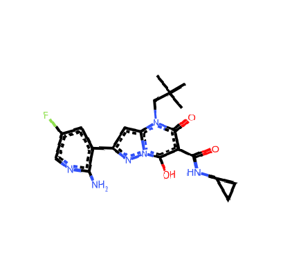 CC(C)(C)Cn1c(=O)c(C(=O)NC2CC2)c(O)n2nc(-c3cc(F)cnc3N)cc12